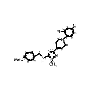 COc1ccc(CNc2nc(C3=CCN(c4ccc(Cl)cc4F)CC3)nn2C)cc1